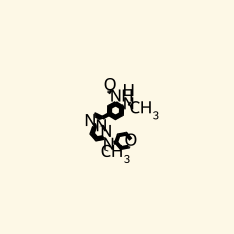 CNc1ccc(-c2cnc3ccc(N(C)C4CCOCC4)nn23)cc1NC=O